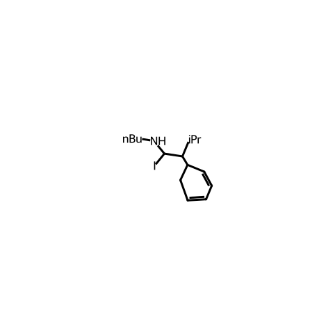 CCCCNC(I)C(C(C)C)C1C=CC=CC1